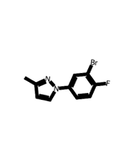 Cc1ccn(-c2ccc(F)c(Br)c2)n1